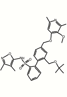 COc1c(OCc2ccc(-c3ccccc3S(=O)(=O)Nc3onc(C)c3C)c(COC(C)(C)C)c2)cc(C)nc1C